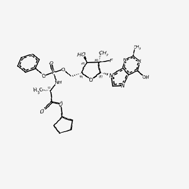 Cc1nc(O)c2ncn([C@@H]3O[C@H](COP(=O)(N[C@@H](C)C(=O)OC4CCCC4)Oc4ccccc4)[C@@H](O)[C@@]3(C)F)c2n1